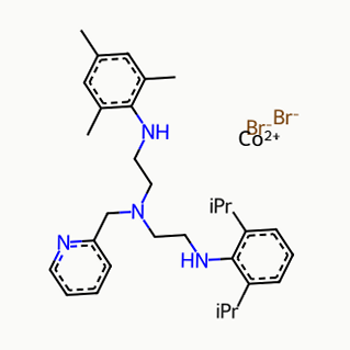 Cc1cc(C)c(NCCN(CCNc2c(C(C)C)cccc2C(C)C)Cc2ccccn2)c(C)c1.[Br-].[Br-].[Co+2]